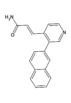 NC(=O)C=Cc1ccncc1-c1ccc2ccccc2c1